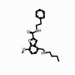 CCCCNCc1ccc(OC)c2oc(C(=O)NCCc3ccccc3)cc12